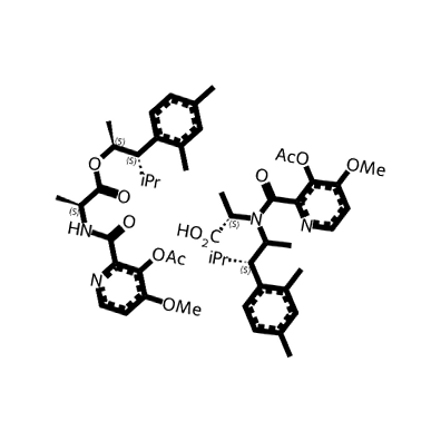 COc1ccnc(C(=O)N(C(C)[C@H](c2ccc(C)cc2C)C(C)C)[C@@H](C)C(=O)O)c1OC(C)=O.COc1ccnc(C(=O)N[C@@H](C)C(=O)O[C@@H](C)[C@H](c2ccc(C)cc2C)C(C)C)c1OC(C)=O